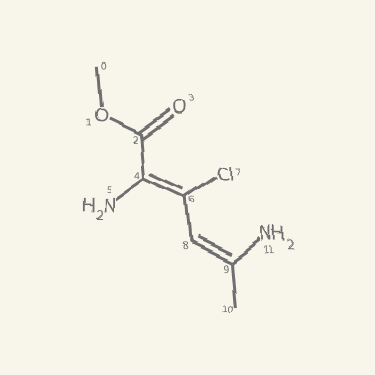 COC(=O)/C(N)=C(Cl)/C=C(/C)N